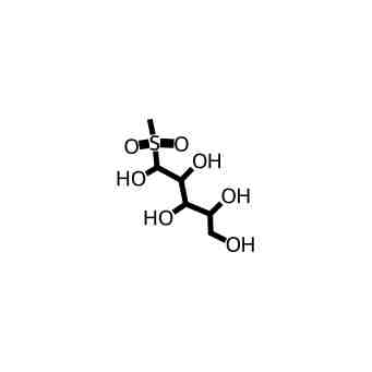 CS(=O)(=O)C(O)C(O)C(O)C(O)CO